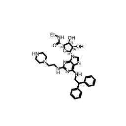 CCNC(=O)[C@H]1O[C@@H](n2cnc3c(NCC(c4ccccc4)c4ccccc4)nc(NCCN4CCNCC4)nc32)[C@H](O)[C@@H]1O